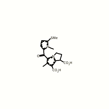 CSc1ccc(C(=O)c2c(C)c(C(=O)O)c3n2CCC3C(=O)O)n1C